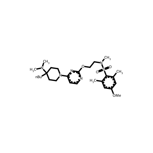 CCCCC1(N(C)C)CCN(c2ccnc(OCCN(C)S(=O)(=O)c3c(C)cc(OC)cc3C)n2)CC1